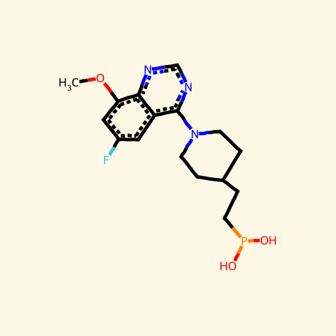 COc1cc(F)cc2c(N3CCC(CCP(O)O)CC3)ncnc12